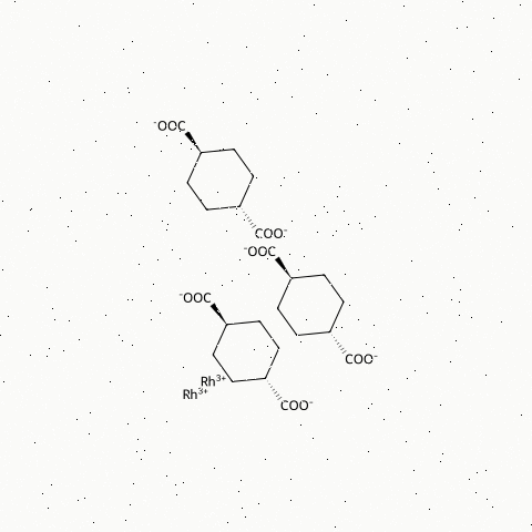 O=C([O-])[C@H]1CC[C@H](C(=O)[O-])CC1.O=C([O-])[C@H]1CC[C@H](C(=O)[O-])CC1.O=C([O-])[C@H]1CC[C@H](C(=O)[O-])CC1.[Rh+3].[Rh+3]